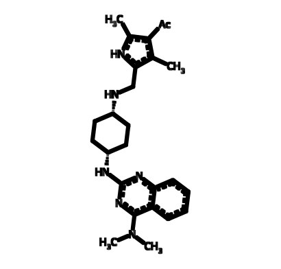 CC(=O)c1c(C)[nH]c(CN[C@H]2CC[C@@H](Nc3nc(N(C)C)c4ccccc4n3)CC2)c1C